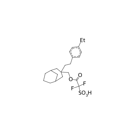 CCc1ccc(CCC2(COC(=O)C(F)(F)S(=O)(=O)O)CC3CCCC(C3)C2)cc1